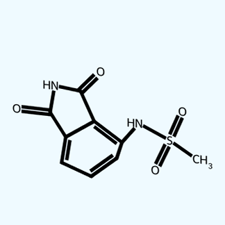 CS(=O)(=O)Nc1cccc2c1C(=O)NC2=O